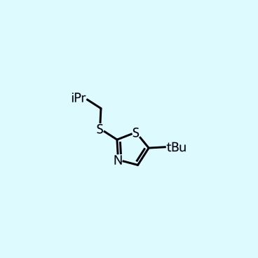 CC(C)CSc1ncc(C(C)(C)C)s1